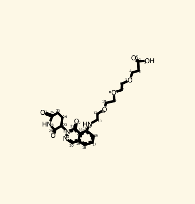 O=C(O)CCOCCOCCOCCNc1cccc2cnn(C3CCC(=O)NC3=O)c(=O)c12